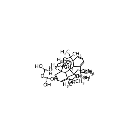 CC(C)(C)C1=CC=CC(C)(C(C)(C)C)C1C(O)(C1C(C(C)(C)C)=CC=CC1(C)C(C)(C)C)C(CO)(CO)CO.OP(O)OP(O)O